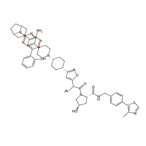 Cc1ncsc1-c1ccc(CNC(=O)[C@@H]2C[C@@H](O)CN2C(=O)C(c2cc([C@H]3CC[C@@H](N4CCC(c5cnc(N6C7CCC6CN(c6cc(-c8ccccc8O)nnc6N)C7)nc5)CC4)CC3)no2)C(C)C)cc1